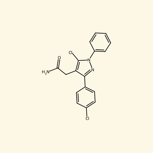 NC(=O)Cc1c(-c2ccc(Cl)cc2)nn(-c2ccccc2)c1Cl